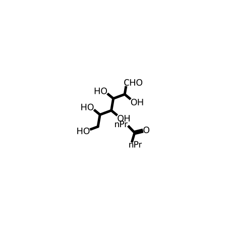 CCCC(=O)CCC.O=CC(O)C(O)C(O)C(O)CO